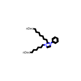 CCCCCCCCCCCCCCCCCC1N(CCCCCCCCCCCCCCCC)C=CN1c1ccccc1